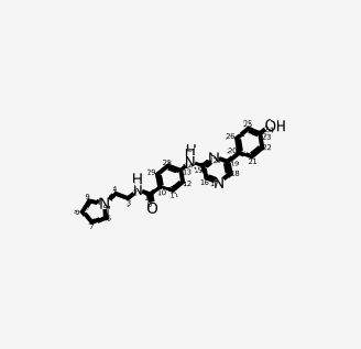 O=C(NCCN1CCCC1)c1ccc(Nc2cncc(-c3ccc(O)cc3)n2)cc1